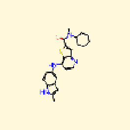 Cc1cc2cc(Nc3ccnc4cc(C(=O)N(C)C5CCCCC5)sc34)ccc2[nH]1